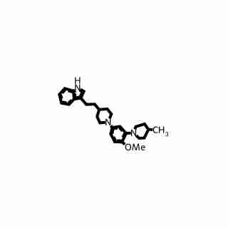 COc1ccc(N2CCC(CCc3c[nH]c4ccccc34)CC2)cc1N1CCC(C)CC1